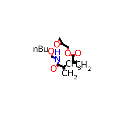 C=C(C)C(=O)NCOCCCC.C=CC(=O)OCC1CO1